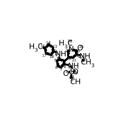 C#CS(=O)(=O)Nc1cccc(Nc2ccc(C)cc2)c1-c1cc(NC)c(=O)n(C)c1